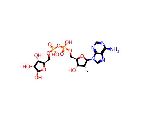 C[C@H]1C(n2cnc3c(N)ncnc32)O[C@H](COP(=O)(O)OP(=O)(O)OC[C@H]2O[C@@H](O)[C@H](O)[C@@H]2O)[C@H]1O